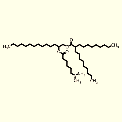 CCCCCCCCCCCCC(COC(=O)C(CCCCCCCCC)CCCCCCCCC)OC(=O)CCCCCN(C)C